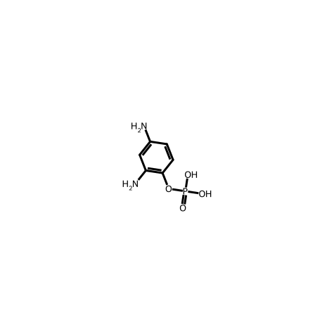 Nc1ccc(OP(=O)(O)O)c(N)c1